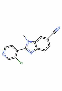 Cn1c(-c2ccncc2Cl)nc2ccc(C#N)cc21